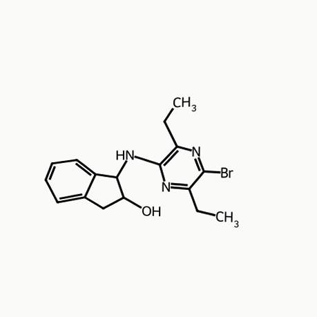 CCc1nc(NC2c3ccccc3CC2O)c(CC)nc1Br